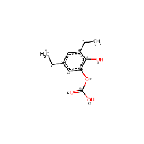 CCc1cc(CC)c(O)c(OC(=O)O)c1